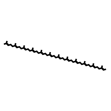 [CH2]/C=C(\C)CC/C=C(\C)CC/C=C(\C)CC/C=C(\C)CC/C=C(\C)CC/C=C(\C)CC/C=C(\C)CC/C=C(\C)CC/C=C(\C)CC/C=C(\C)CC/C=C(\C)CCC=C(C)C